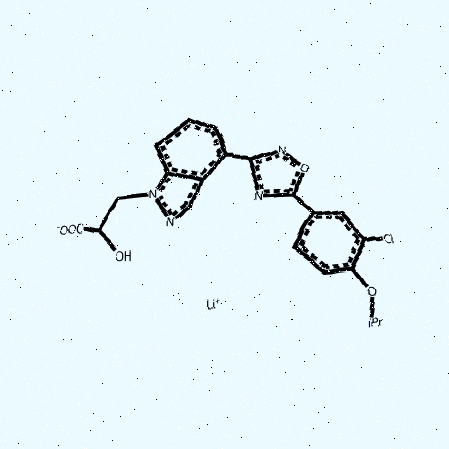 CC(C)Oc1ccc(-c2nc(-c3cccc4c3cnn4CC(O)C(=O)[O-])no2)cc1Cl.[Li+]